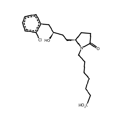 O=C(O)CCCCCCN1C(=O)CC[C@@H]1CC[C@@H](O)Cc1ccccc1Cl